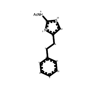 CC(=O)Nc1nc(CCc2cc[c]cc2)cs1